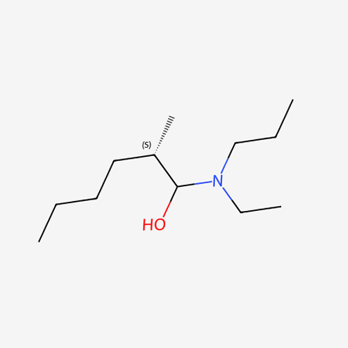 CCCC[C@H](C)C(O)N(CC)CCC